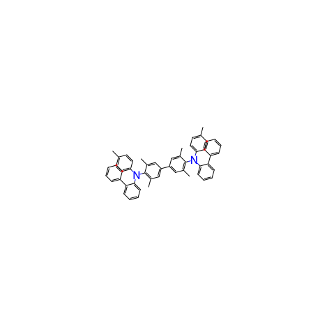 Cc1ccc(N(c2ccccc2-c2ccccc2)c2c(C)cc(-c3cc(C)c(N(c4ccc(C)cc4)c4ccccc4-c4ccccc4)c(C)c3)cc2C)cc1